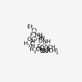 CCc1ccc(Nc2cc(=O)n(C)cc2-c2nnc(NC(CO[Si](C)(C)C(C)(C)C)CO[Si](C)(C)C(C)(C)C)o2)c(F)c1